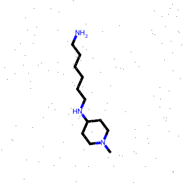 CN1CCC(NCCCCCCN)CC1